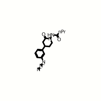 CCCC(=O)NN1CCC(c2cccc(N=[N+]=[N-])c2)CC1=O